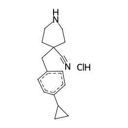 Cl.N#CC1(Cc2ccc(C3CC3)cc2)CCNCC1